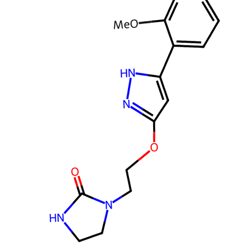 COc1ccccc1-c1cc(OCCN2CCNC2=O)n[nH]1